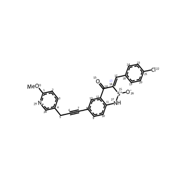 COc1ccc(CC#Cc2ccc3c(c2)C(=O)/C(=C/c2ccc(Cl)cc2)[S+]([O-])N3)cn1